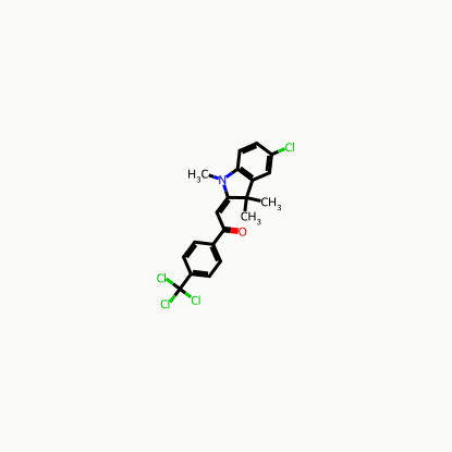 CN1/C(=C/C(=O)c2ccc(C(Cl)(Cl)Cl)cc2)C(C)(C)c2cc(Cl)ccc21